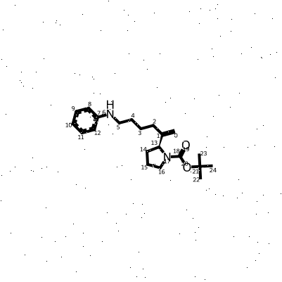 C=C(CCCCNc1ccccc1)[C@@H]1CCCN1C(=O)OC(C)(C)C